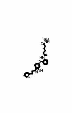 C=C(CCCCC(=O)NO)Nc1ccccc1Sc1ccc2c(/C=C/c3ccccn3)n[nH]c2c1